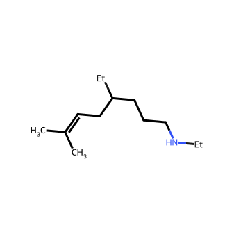 CCNCCCC(CC)CC=C(C)C